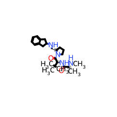 CN[C@@H](C)C(=O)N[C@H](C(=O)N1CCC[C@H]1CNC1Cc2ccccc2C1)C(C)(C)C